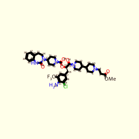 COC(=O)CCN1CCC(C2CCN(C(=O)[C@@H](Cc3cc(Cl)c(N)c(C(F)(F)F)c3)OC(=O)N3CCC(N4CCc5ccccc5NC4=O)CC3)CC2)CC1